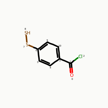 O=C(Cl)c1ccc(SS)cc1